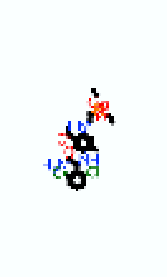 CCOP(=O)(CCNc1cc(C)c(NC(C(N)=O)c2c(Cl)cccc2Cl)cc1C(C)=O)OCC